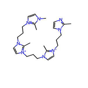 Cc1nccn1CCC[n+]1ccn(CCC[n+]2ccn(CCC[n+]3ccn(C)c3C)c2C)c1C